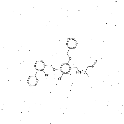 CC(CN=O)NCc1cc(Cl)c(OCc2cccc(-c3ccccc3)c2Br)cc1OCc1cccnc1